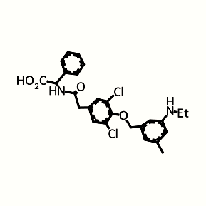 CCNc1cc(C)cc(COc2c(Cl)cc(CC(=O)NC(C(=O)O)c3ccccc3)cc2Cl)c1